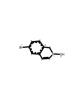 ON1C=Cc2cc(Br)ccc2C1